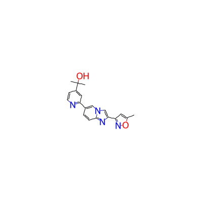 Cc1cc(-c2cn3cc(-c4cc(C(C)(C)O)ccn4)ccc3n2)no1